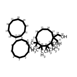 C1CCCCCCCCC1.C1CCCCCCCCC1.CC1(C)CCCCCC(CO)(CO)C(C)(C)C(C)(C)C1(C)C